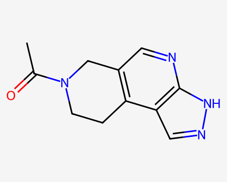 CC(=O)N1CCc2c(cnc3[nH]ncc23)C1